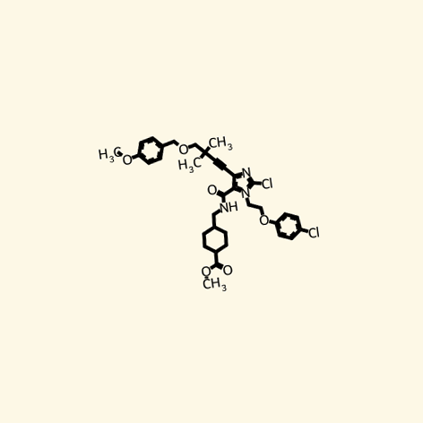 COC(=O)C1CCC(CNC(=O)c2c(C#CC(C)(C)COCc3ccc(OC)cc3)nc(Cl)n2CCOc2ccc(Cl)cc2)CC1